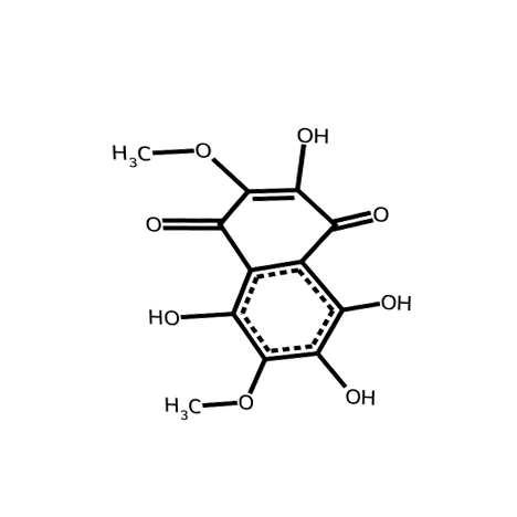 COC1=C(O)C(=O)c2c(O)c(O)c(OC)c(O)c2C1=O